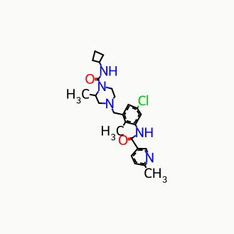 Cc1ccc(C(=O)Nc2cc(Cl)cc(CN3CCN(C(=O)NC4CCC4)C(C)C3)c2C)cn1